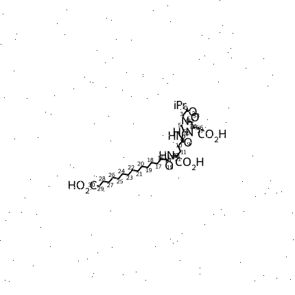 CC(C)C(=O)CN(CCNC(=O)CC[C@H](NC(=O)CCCCCCCCCCCCCCC(=O)O)C(=O)O)C(=O)[C@@H](N)CC(=O)O